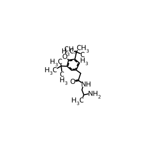 COc1c(C(C)(C)C)cc(CC(=O)NCC(C)N)cc1C(C)(C)C